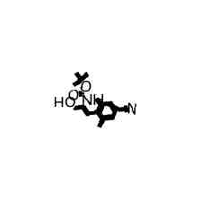 Cc1cc(C#N)cc(C)c1CC(CO)NC(=O)OC(C)(C)C